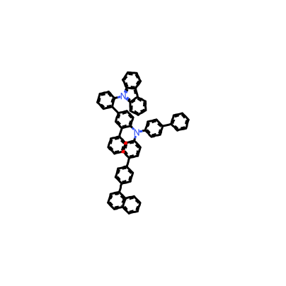 c1ccc(-c2ccc(N(c3ccc(-c4ccc(-c5cccc6ccccc56)cc4)cc3)c3ccc(-c4ccccc4-n4c5ccccc5c5ccccc54)cc3-c3ccccc3)cc2)cc1